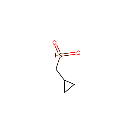 O=[SH](=O)CC1CC1